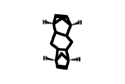 C1=C[C@H]2C[C@@H]1C1CC3C(CC12)[C@@H]1C=C[C@H]3C1